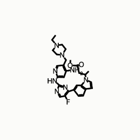 CCN1CCN(Cc2cnc(Nc3ncc(F)c(-c4ccc5ccn(C(C)CC(=O)OC)c5c4)n3)cc2N)CC1